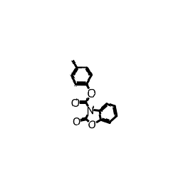 Cc1ccc(OC(=O)n2c(=O)oc3ccccc32)cc1